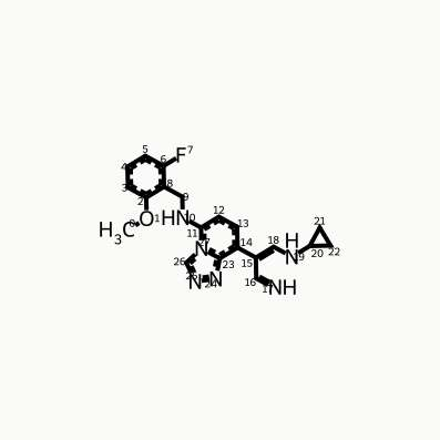 COc1cccc(F)c1CNc1ccc(/C(C=N)=C/NC2CC2)c2nncn12